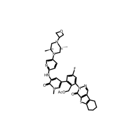 CC(=O)OCc1c(-c2cc(Nc3ccc(N4C[C@@H](C)N(C5COC5)C[C@@H]4C)cn3)c(=O)n(C)c2)cc(F)cc1-n1ncc2c3c(sc2c1=O)CCCC3